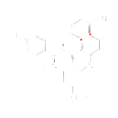 CN(CCCC=O)[C@@H](c1ccc(F)cc1)[C@@H](Oc1ccc(C#N)cc1)c1ccnc2ccccc12